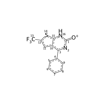 O=c1nc(-c2ccccc2)c2cc(C(F)(F)F)sc2[nH]1